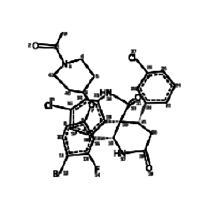 CC(=O)N1CCC(Oc2ccc(Br)c(F)c2[C@H]2NC(=O)C[C@@H](c3cccc(Cl)c3)[C@]23C(=O)Nc2cc(Cl)ccc23)CC1